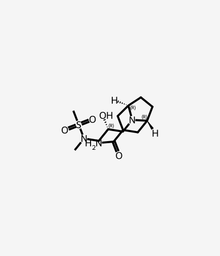 CN(C[C@H](O)CN1[C@@H]2CC[C@@H]1CC(C(N)=O)C2)S(C)(=O)=O